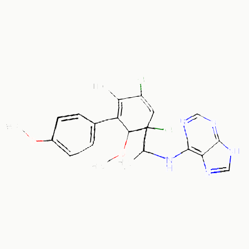 COc1ccc(C2=C(C)C(Cl)=CC(Cl)(C(C)Nc3ncnc4[nH]cnc34)C2OC)cc1